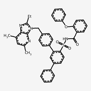 CCc1nc2c(C)cc(C)nc2n1Cc1ccc(-c2cc(-c3ccccc3)ccc2S(=O)(=O)NC(=O)c2ccccc2Oc2ccccc2)cc1